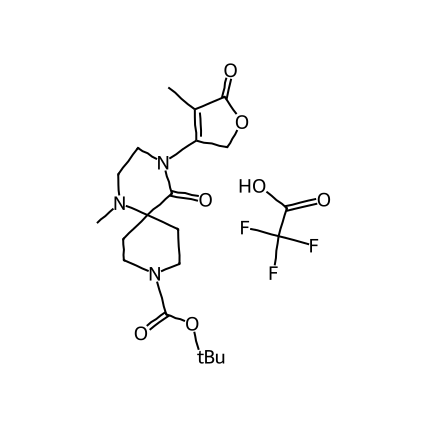 CC1=C(N2CCN(C)C3(CCN(C(=O)OC(C)(C)C)CC3)C2=O)COC1=O.O=C(O)C(F)(F)F